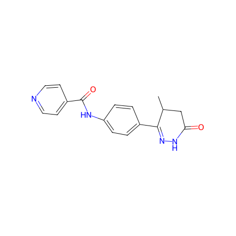 CC1CC(=O)NN=C1c1ccc(NC(=O)c2ccncc2)cc1